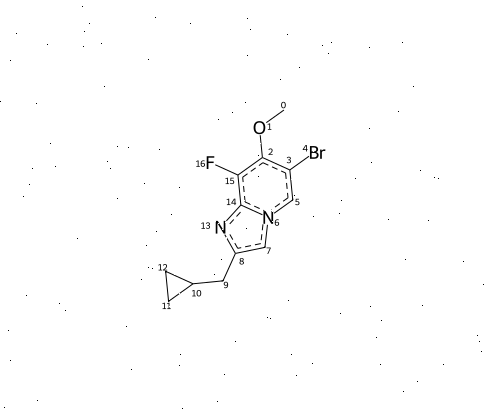 COc1c(Br)cn2cc(CC3CC3)nc2c1F